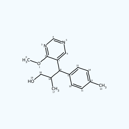 COc1ncncc1C(c1ccc(C)cc1)C(C)CO